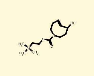 C[Si](C)(C)CCOC(=O)N1CC/C=C/C(O)CC1